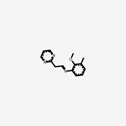 COc1c(C)cccc1N=CCc1ncccn1